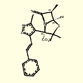 Cc1noc(C=Cc2ccccc2)c1[C@@]1(C(=O)O)N2C(=S)[C@@H](C)[C@H]2SC1(C)C